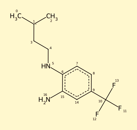 C[C](C)CCNc1ccc(C(F)(F)F)cc1N